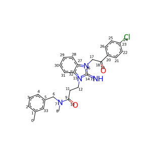 Cc1cccc(CN(C)C(=O)CCn2c(=N)n(CC(=O)c3ccc(Cl)cc3)c3ccccc32)c1